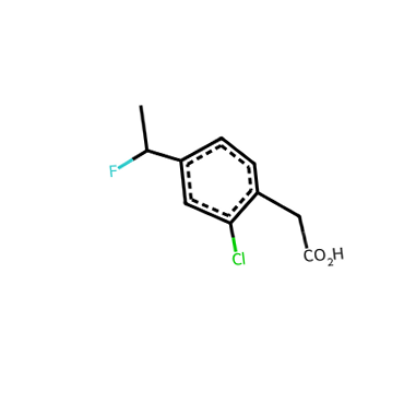 CC(F)c1ccc(CC(=O)O)c(Cl)c1